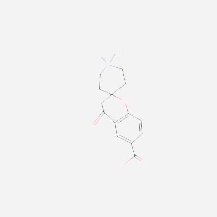 C[N+]1(C)CCC2(CC1)CC(=O)c1cc(C(=O)[O-])ccc1O2.Cl